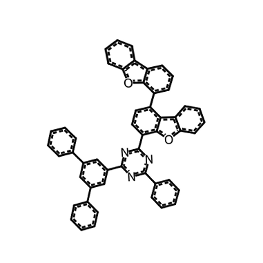 c1ccc(-c2cc(-c3ccccc3)cc(-c3nc(-c4ccccc4)nc(-c4ccc(-c5cccc6c5oc5ccccc56)c5c4oc4ccccc45)n3)c2)cc1